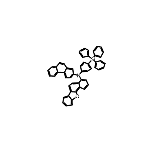 c1ccc([Si](c2ccccc2)(c2ccccc2)c2ccc(N(c3ccc4c(ccc5ccccc54)c3)c3cccc4c3ccc3c5ccccc5oc43)cc2)cc1